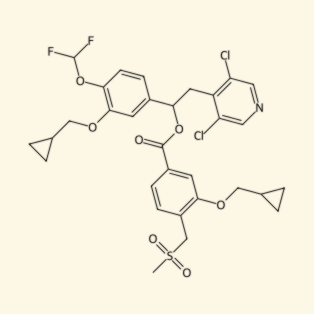 CS(=O)(=O)Cc1ccc(C(=O)OC(Cc2c(Cl)cncc2Cl)c2ccc(OC(F)F)c(OCC3CC3)c2)cc1OCC1CC1